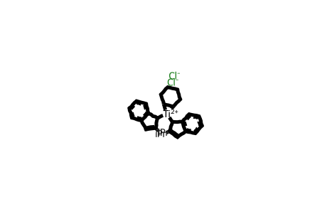 CC(C)C1=Cc2ccccc2[CH]1[Ti+2]1([CH]2C(C(C)C)=Cc3ccccc32)[CH]2CCCC[CH]21.[Cl-].[Cl-]